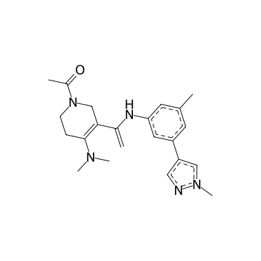 C=C(Nc1cc(C)cc(-c2cnn(C)c2)c1)C1=C(N(C)C)CCN(C(C)=O)C1